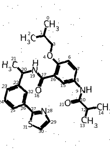 CC(C)COc1ccc(NC(=O)C(C)C)cc1C(=O)NC(C)c1cccc(-c2nccs2)c1